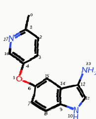 Cc1ccc(Oc2ccc3[nH]cc(N)c3c2)cn1